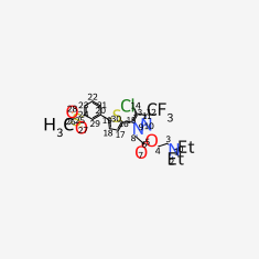 CCN(CC)CCOC(=O)Cn1nc(C(F)(F)F)c(Cl)c1-c1ccc(-c2cccc(S(C)(=O)=O)c2)s1